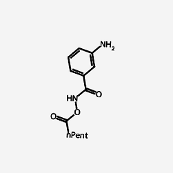 CCCCCC(=O)ONC(=O)c1cccc(N)c1